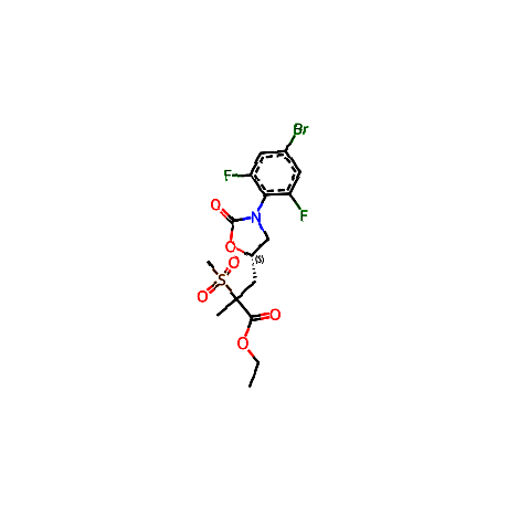 CCOC(=O)C(C)(C[C@H]1CN(c2c(F)cc(Br)cc2F)C(=O)O1)S(C)(=O)=O